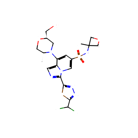 CC[C@@H]1CO[C@@H](CO)CN1c1cc(S(=O)(=O)NC2(C)COC2)cn2c(-c3nnc(C(F)F)s3)ncc12